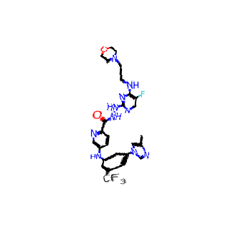 Cc1cn(-c2cc(Nc3ccc(C(=O)NNc4ncc(F)c(NCCN5CCOCC5)n4)nc3)cc(C(F)(F)F)c2)cn1